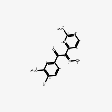 COc1cc(C(=O)C(=NO)c2ccnc(SC)n2)ccc1Cl